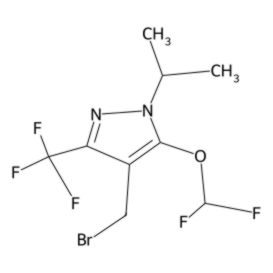 CC(C)n1nc(C(F)(F)F)c(CBr)c1OC(F)F